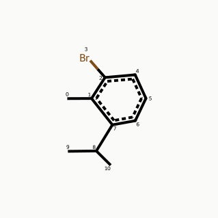 Cc1c(Br)cccc1C(C)C